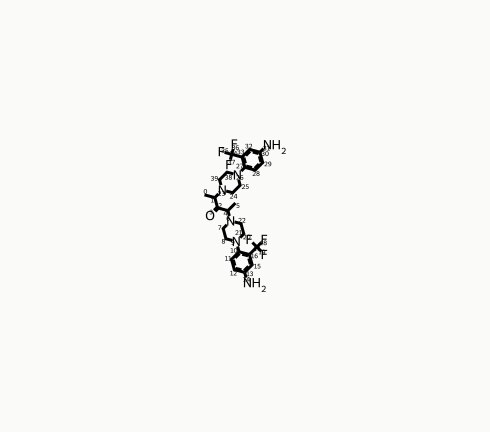 CC(C(=O)C(C)N1CCN(c2ccc(N)cc2C(F)(F)F)CC1)N1CCN(c2ccc(N)cc2C(F)(F)F)CC1